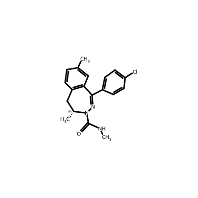 CNC(=O)N1N=C(c2ccc(Cl)cc2)c2cc(C)ccc2C[C@H]1C